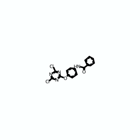 O=C(Nc1ccc(Oc2nc(Cl)nc(Cl)n2)cc1)c1ccccc1